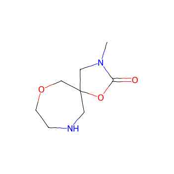 CN1CC2(CNCCOC2)OC1=O